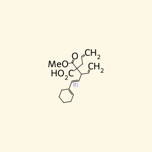 C=CCC(C(=O)O)(C(=O)OC)C(C=C)/C=C/C1=CCCCC1